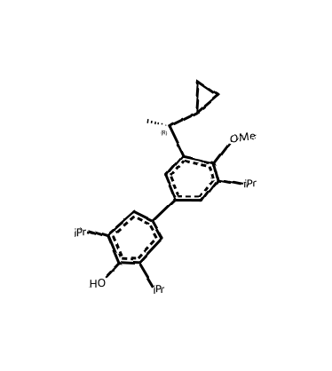 COc1c(C(C)C)cc(-c2cc(C(C)C)c(O)c(C(C)C)c2)cc1[C@H](C)C1CC1